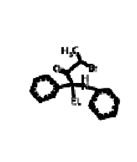 CCC(Nc1ccccc1)(C(=O)C(C)Br)c1ccccc1